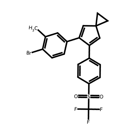 Cc1cc(C2=CC3(C=C2c2ccc(S(=O)(=O)C(F)(F)F)cc2)CC3)ccc1Br